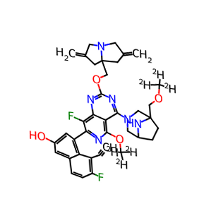 [2H]C([2H])([2H])OCC12CCC(CN(c3nc(OCC45CC(=C)CN4CC(=C)C5)nc4c(F)c(-c5cc(O)cc6ccc(F)c(C#C)c56)nc(OC([2H])([2H])[2H])c34)C1)N2